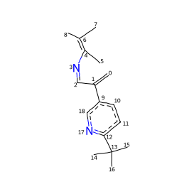 C=C(/C=N\C(C)=C(C)C)c1ccc(C(C)(C)C)nc1